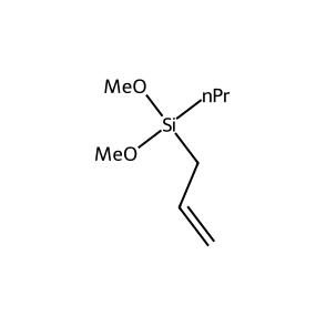 C=CC[Si](CCC)(OC)OC